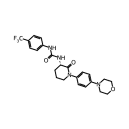 O=C(Nc1ccc(C(F)(F)F)cc1)N[C@H]1CCCN(c2ccc(N3CCOCC3)cc2)C1=O